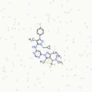 Cc1nn(-c2cc(Nc3c(C)c(-c4ccc(F)cc4)nn3CC3CC3)ncn2)c(C)c1C(N(C)C)C(F)(F)F